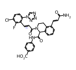 NC(=O)C=Cc1cccc2c1CCN(C(=O)/C=C/c1c(-n3cnnn3)ccc(Cl)c1F)C2C(=O)Nc1ccc(C(=O)O)cc1